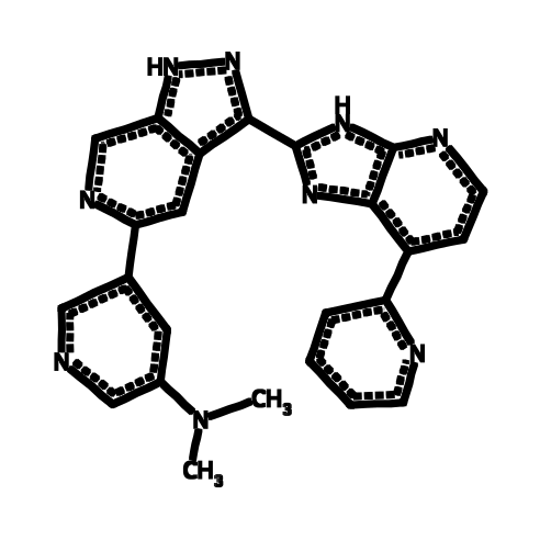 CN(C)c1cncc(-c2cc3c(-c4nc5c(-c6ccccn6)ccnc5[nH]4)n[nH]c3cn2)c1